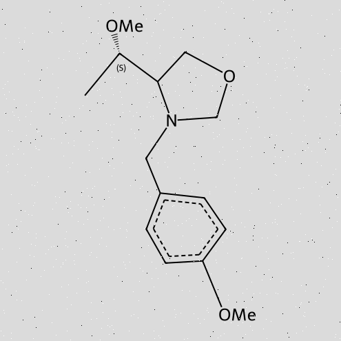 COc1ccc(CN2COCC2[C@H](C)OC)cc1